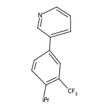 CC(C)c1ccc(-c2cccnc2)cc1C(F)(F)F